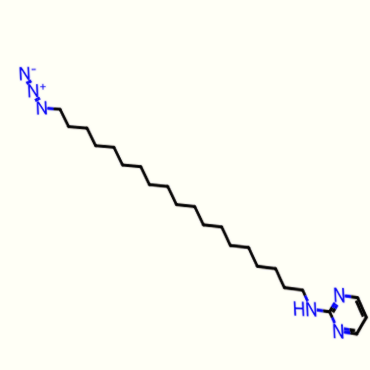 [N-]=[N+]=NCCCCCCCCCCCCCCCCCCCNc1ncccn1